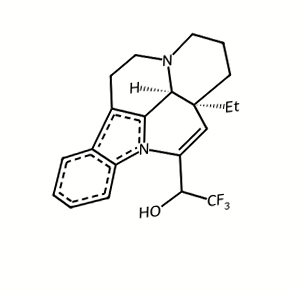 CC[C@@]12C=C(C(O)C(F)(F)F)n3c4c(c5ccccc53)CCN(CCC1)[C@H]42